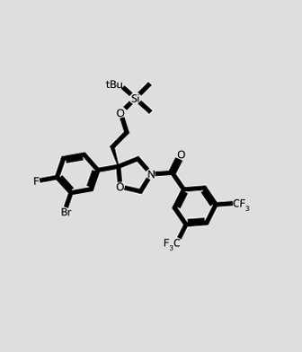 CC(C)(C)[Si](C)(C)OCC[C@@]1(c2ccc(F)c(Br)c2)CN(C(=O)c2cc(C(F)(F)F)cc(C(F)(F)F)c2)CO1